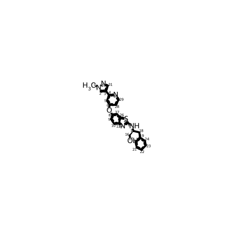 Cn1cc(-c2cc(Oc3ccc4nc(N[C@H](CO)Cc5ccccc5)sc4c3)ccn2)cn1